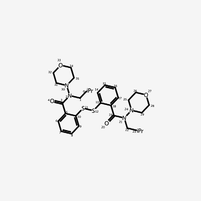 CC(C)CN(C(=O)c1ccccc1SSc1ccccc1C(=O)N(CC(C)C)N1CCOCC1)N1CCOCC1